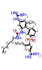 CSc1sc(C(=N)N)cc1S(=O)(=O)c1cccc(-c2c(C)cc(NC(=N)N)cc2NC(=O)NCCCCCC(C)=O)c1